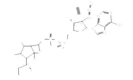 C#C[C@@]1(N=[N+]=[N-])[C@H](O)[C@@H](COP(=O)(S)OP(=O)(O)OC2OC3(O)C2C(O)C(O)C3[C@@H](F)CO)O[C@H]1n1cnc2c(N)ncnc21